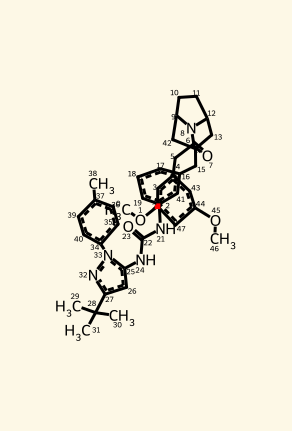 COc1cc(CC(=O)N2C3CCC2CC(Cc2cccc(NC(=O)Nc4cc(C(C)(C)C)nn4-c4ccc(C)cc4)c2)C3)cc(OC)c1